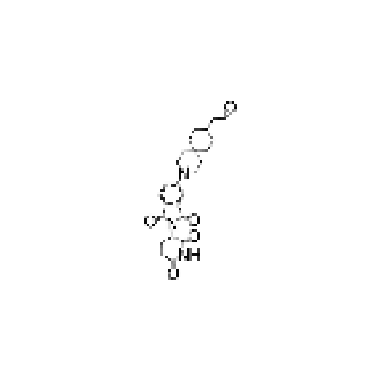 O=CCC1CCC2(CC1)CCN(c1ccc3c(c1)C(=O)N(C1CCC(=O)NC1=O)C3=O)CC2